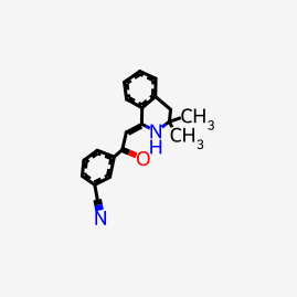 CC1(C)Cc2ccccc2C(=CC(=O)c2cccc(C#N)c2)N1